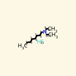 CCCCCCCCN(CC)CC.F